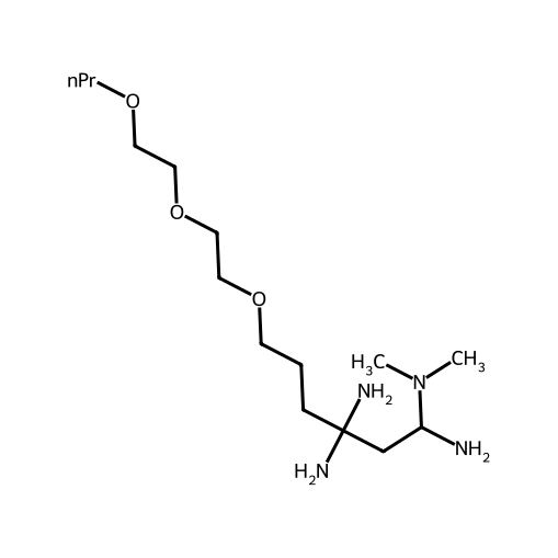 CCCOCCOCCOCCCC(N)(N)CC(N)N(C)C